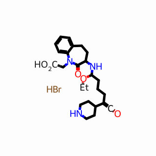 Br.CCOC(CCCC(=C=O)C1CCNCC1)NC1CCc2ccccc2N(CC(=O)O)C1=O